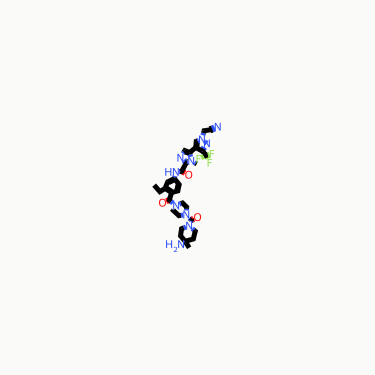 CCc1cc(NC(=O)c2ncc(-c3cn(CC#N)nc3C(F)(F)F)n2C)ccc1C(=O)N1CCN(C(=O)N2CCC(C)(N)CC2)CC1